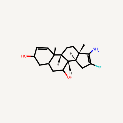 C[C@]12C=CC(O)CC1CC(O)[C@@H]1[C@H]2CC[C@]2(C)C(N)=C(F)C[C@@H]12